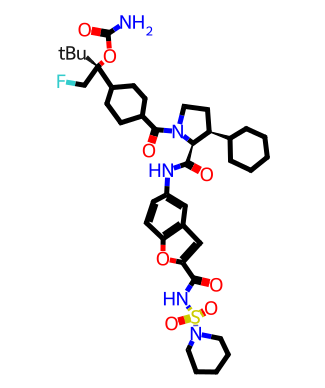 CC(C)(C)[C@@](CF)(OC(N)=O)C1CCC(C(=O)N2CC[C@@H](C3CCCCC3)[C@H]2C(=O)Nc2ccc3oc(C(=O)NS(=O)(=O)N4CCCCC4)cc3c2)CC1